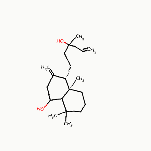 C=CC(C)(O)CC[C@H]1C(=C)CC(O)C2C(C)(C)CCC[C@@]21C